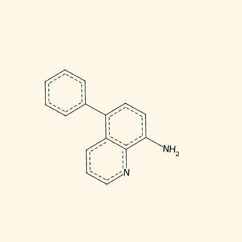 Nc1ccc(-c2ccccc2)c2cccnc12